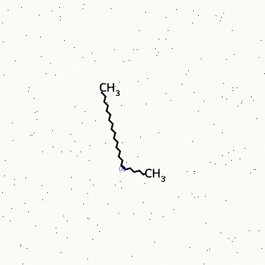 CCCCC/C=C\CCCCCCCCCCCCCCCCC